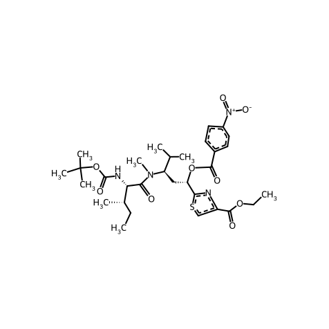 CCOC(=O)c1csc([C@H](C[C@H](C(C)C)N(C)C(=O)[C@@H](NC(=O)OC(C)(C)C)[C@@H](C)CC)OC(=O)c2ccc([N+](=O)[O-])cc2)n1